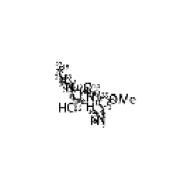 COc1cc(-c2cn(C)nc2C)cc([C@@H](C)NC(=O)c2cc(N3CCN(CC4CC4)CC3)ccc2C)c1.Cl